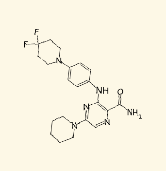 NC(=O)c1ncc(N2CCCCC2)nc1Nc1ccc(N2CCC(F)(F)CC2)cc1